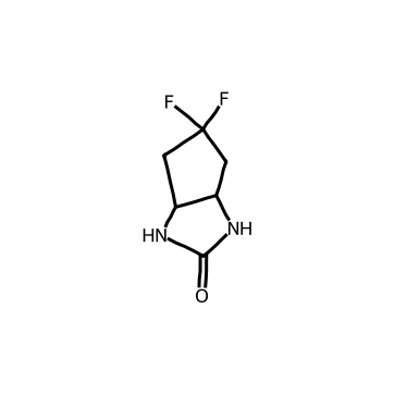 O=C1NC2CC(F)(F)CC2N1